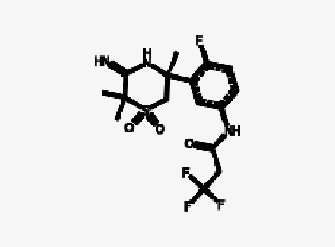 CC1(C)C(=N)N[C@](C)(c2cc(NC(=O)CC(F)(F)F)ccc2F)CS1(=O)=O